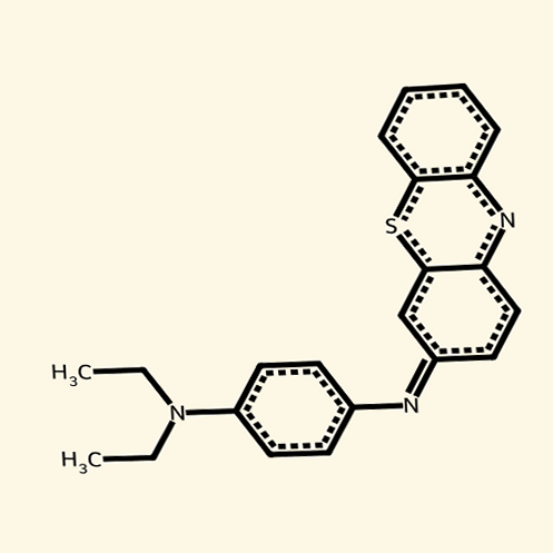 CCN(CC)c1ccc(N=c2ccc3nc4ccccc4sc-3c2)cc1